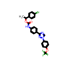 CC(OC(=O)Nc1ccc(-c2ncn(-c3ccc(OC(F)(F)F)cc3)n2)cc1)c1ccc(Br)cc1